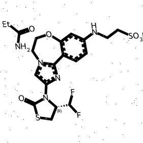 CCC(N)=O.O=C1SC[C@@H](C(F)F)N1c1cn2c(n1)-c1ccc(NCCS(=O)(=O)O)cc1OCC2